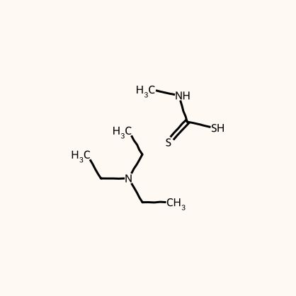 CCN(CC)CC.CNC(=S)S